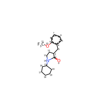 O=C1C(Cc2ccccc2OC(F)(F)F)CCN1C1CCCCC1